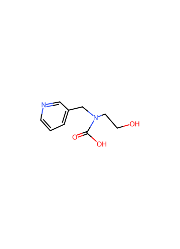 O=C(O)N(CCO)Cc1cccnc1